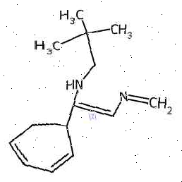 C=N/C=C(\NCC(C)(C)C)C1C=CC=CC1